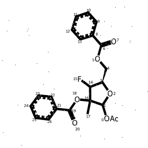 CC(=O)OC1O[C@H](COC(=O)c2ccccc2)C(F)C1(C)OC(=O)c1ccccc1